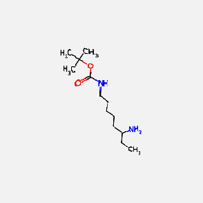 CCC(N)CCCCCNC(=O)OC(C)(C)C